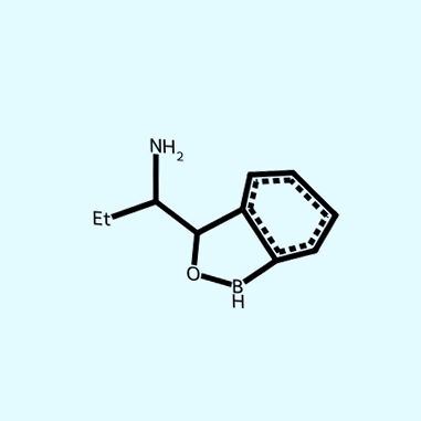 CCC(N)C1OBc2ccccc21